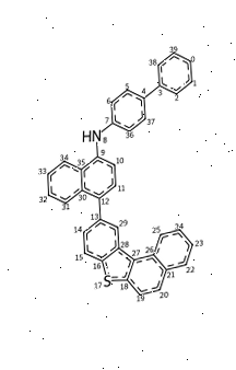 c1ccc(-c2ccc(Nc3ccc(-c4ccc5sc6ccc7ccccc7c6c5c4)c4ccccc34)cc2)cc1